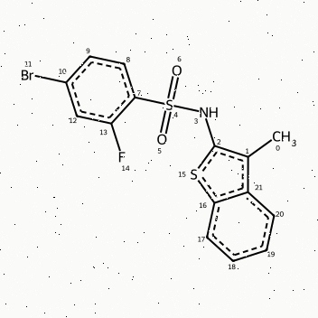 Cc1c(NS(=O)(=O)c2ccc(Br)cc2F)sc2ccccc12